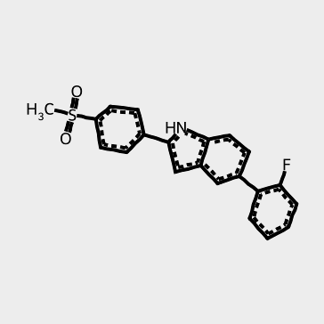 CS(=O)(=O)c1ccc(-c2cc3cc(-c4ccccc4F)ccc3[nH]2)cc1